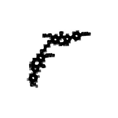 COc1ccc(C2C[C@H]3C=Nc4cc(OCCCOc5cc6c(cc5OC)C(=O)N5CC(c7ccc(C)cc7)C[C@H]5C=N6)c(OC)cc4C(=O)N3C2)cc1